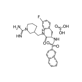 N=C(N)N1CCCC(CNC(=O)[C@@H](Cc2ccc(F)cc2)NS(=O)(=O)c2ccc3ccccc3c2)C1.O=S(O)O